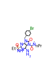 CCCN(C)C(=O)n1c(=O)n(Cc2ccc(Br)cc2)c2nc(S(=N)(=O)CC)nc(N)c21